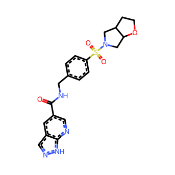 O=C(NCc1ccc(S(=O)(=O)N2CC3CCOC3C2)cc1)c1cnc2[nH]ncc2c1